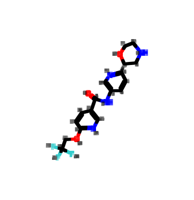 O=C(Nc1ccc([C@H]2CNCCO2)nc1)c1ccc(OCC(F)(F)F)nc1